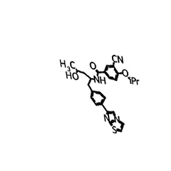 CC(O)CC(Cc1ccc(-c2cn3ccsc3n2)cc1)NC(=O)c1ccc(OC(C)C)c(C#N)c1